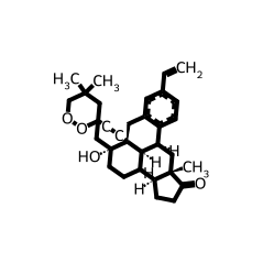 C=Cc1ccc2c(c1)C[C@]13CCC4(CC(C)(C)COO4)C[C@]1(O)CC[C@@H]1[C@@H]3[C@@H]2C[C@]2(C)C(=O)CC[C@@H]12